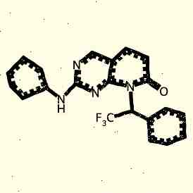 O=c1ccc2cnc(Nc3ccccc3)nc2n1C(c1ccccc1)C(F)(F)F